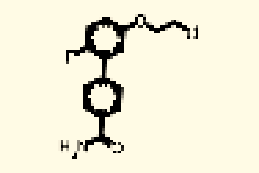 NC(=O)c1ccc(-c2cc(OCCCl)ccc2F)cc1